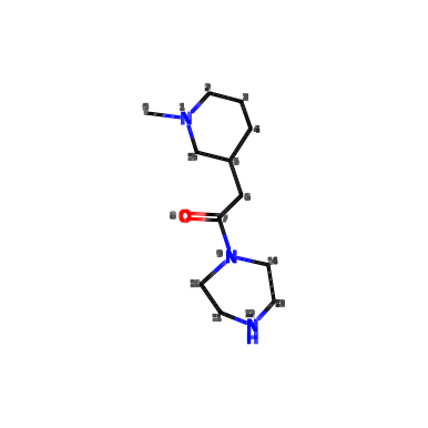 CN1CCCC(CC(=O)N2CCNCC2)C1